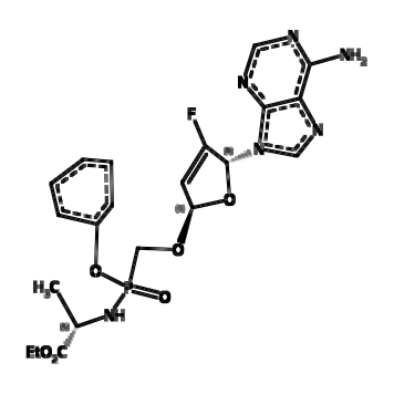 CCOC(=O)[C@H](C)NP(=O)(CO[C@H]1C=C(F)[C@H](n2cnc3c(N)ncnc32)O1)Oc1ccccc1